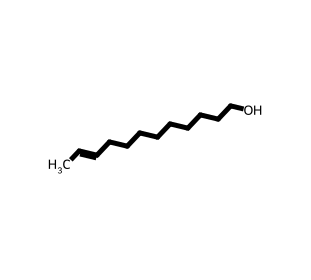 CC=CCCCCCCCCCO